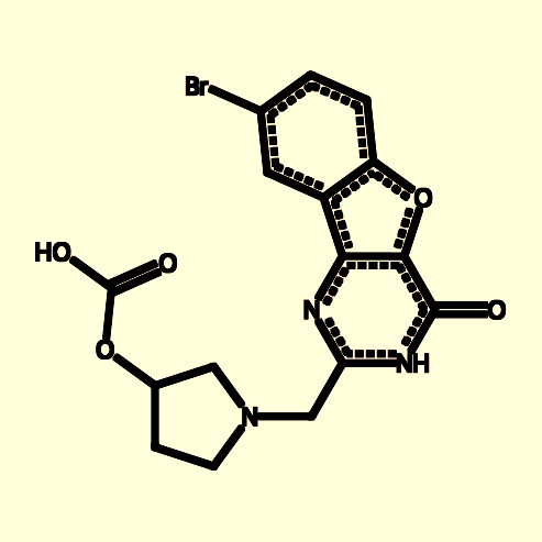 O=C(O)OC1CCN(Cc2nc3c(oc4ccc(Br)cc43)c(=O)[nH]2)C1